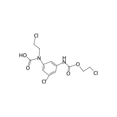 O=C(Nc1cc(Cl)cc(N(CCCl)C(=O)O)c1)OCCCl